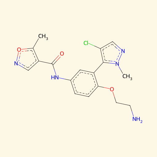 Cc1oncc1C(=O)Nc1ccc(OCCN)c(-c2c(Cl)cnn2C)c1